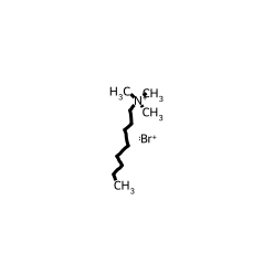 CCCCCCCC[N+](C)(C)C.[Br+]